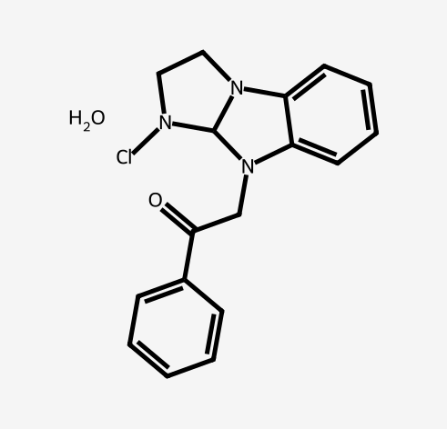 O.O=C(CN1c2ccccc2N2CCN(Cl)C21)c1ccccc1